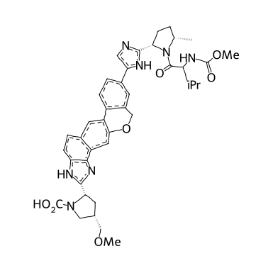 COC[C@H]1C[C@@H](c2nc3c(ccc4cc5c(cc43)OCc3cc(-c4cnc([C@@H]6CC[C@H](C)N6C(=O)C(NC(=O)OC)C(C)C)[nH]4)ccc3-5)[nH]2)N(C(=O)O)C1